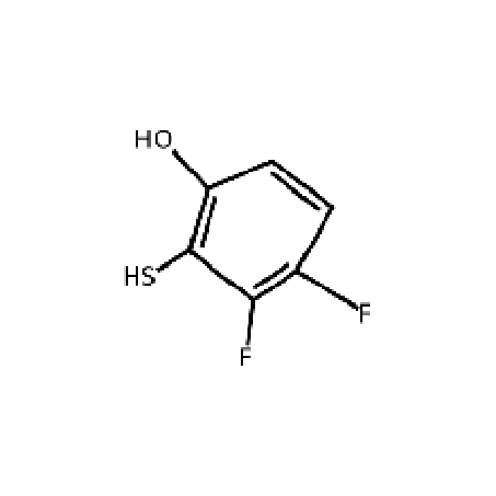 Oc1ccc(F)c(F)c1S